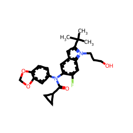 CC(C)(C)c1cc2cc(N(C(=O)C3CC3)c3ccc4c(c3)OCO4)c(F)cc2n1CCCO